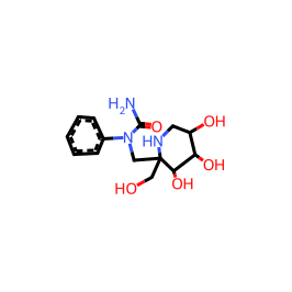 NC(=O)N(CC1(CO)NCC(O)C(O)C1O)c1ccccc1